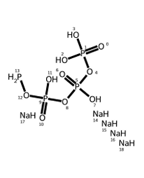 O=P(O)(O)OP(=O)(O)OP(=O)(O)OP.[NaH].[NaH].[NaH].[NaH].[NaH]